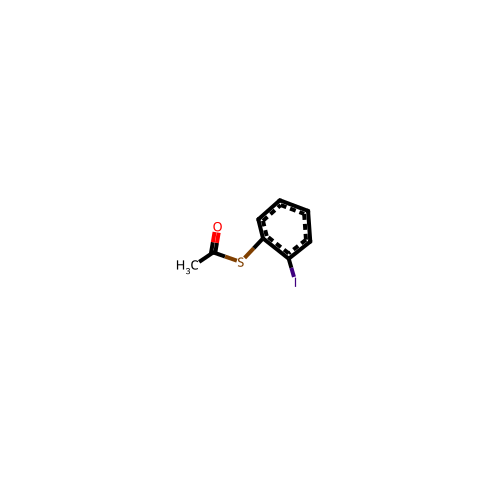 CC(=O)Sc1ccccc1I